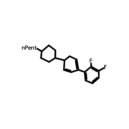 CCCCCC1CCC(C2C=CC(c3cccc(F)c3F)=CC2)CC1